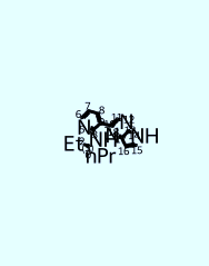 CCC[C@H](CC)Nc1ncccc1-c1cnc2[nH]ccc2n1